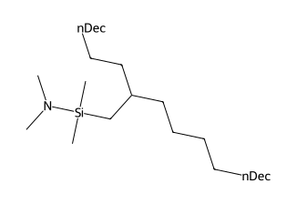 CCCCCCCCCCCCCCC(CCCCCCCCCCCC)C[Si](C)(C)N(C)C